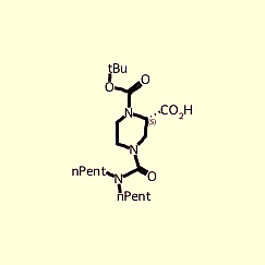 CCCCCN(CCCCC)C(=O)N1CCN(C(=O)OC(C)(C)C)[C@H](C(=O)O)C1